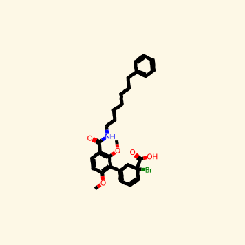 COc1ccc(C(=O)NCCCCCCCc2ccccc2)c(OC)c1C1=CC=CC(Br)(C(=O)O)C1